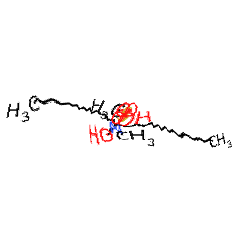 CCCCCCCCCCCCCCCCCCC(CCCCCCCCCCCCCCCCCC)N(CC)CCO.COS(=O)(=O)O